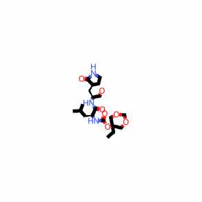 CCC1(OC(=O)N[C@@H](CC(C)C)C(=O)N[C@H](C=O)C[C@@H]2CCNC2=O)COCOC1